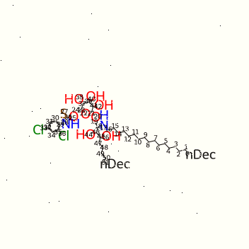 CCCCCCCCCCCCCCCCCCCCCCCCCCN[C@@H](CO[C@@H]1O[C@H](COC(=S)Nc2ccc(Cl)cc2Cl)[C@H](O)[C@H](O)[C@H]1O)[C@H](O)[C@H](O)CCCCCCCCCCCCCC